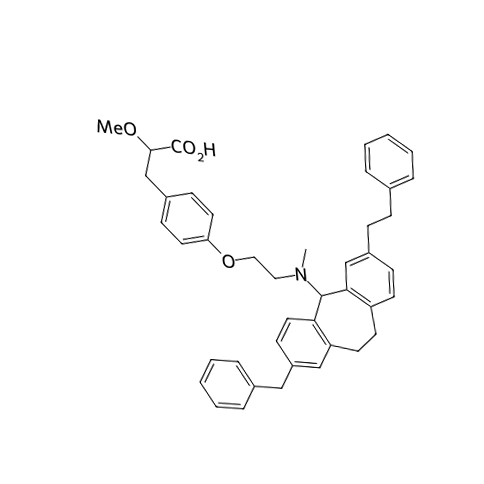 COC(Cc1ccc(OCCN(C)C2c3ccc(Cc4ccccc4)cc3CCc3ccc(CCc4ccccc4)cc32)cc1)C(=O)O